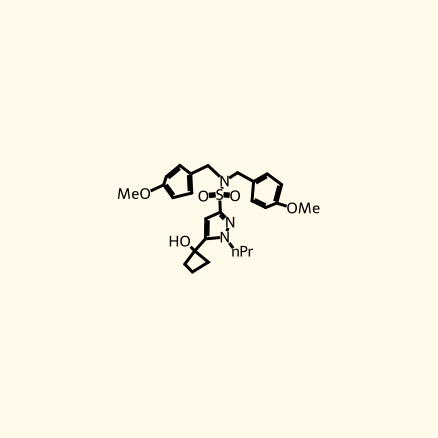 CCCn1nc(S(=O)(=O)N(Cc2ccc(OC)cc2)Cc2ccc(OC)cc2)cc1C1(O)CCC1